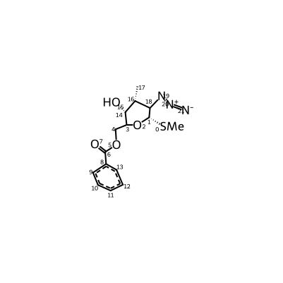 CS[C@@H]1OC(COC(=O)c2ccccc2)[C@H](O)[C@H](C)C1N=[N+]=[N-]